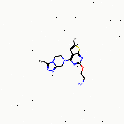 CCCc1cc2c(N3CCn4c(nnc4C(F)(F)F)C3)nc(OCCN)nc2s1